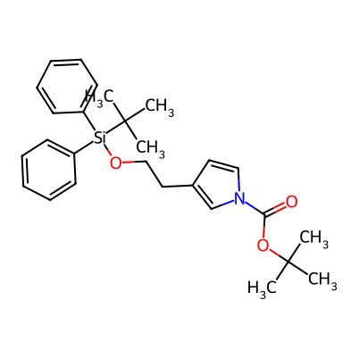 CC(C)(C)OC(=O)n1ccc(CCO[Si](c2ccccc2)(c2ccccc2)C(C)(C)C)c1